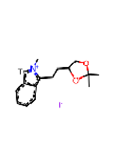 C[n+]1[te]c2ccccc2c1CCC1COC(C)(C)O1.[I-]